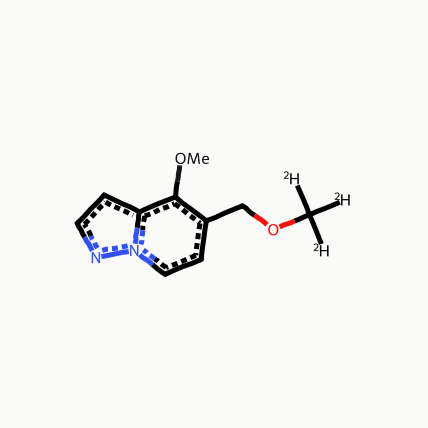 [2H]C([2H])([2H])OCc1ccn2nccc2c1OC